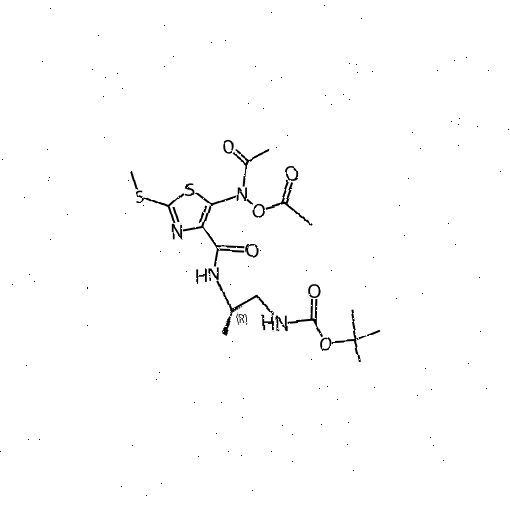 CSc1nc(C(=O)N[C@H](C)CNC(=O)OC(C)(C)C)c(N(OC(C)=O)C(C)=O)s1